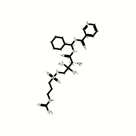 CC(=O)NCCCS(=O)(=O)OCC(C)(C)[C@@H](O)C(=O)OC(OC(=O)c1cccnc1)C1CCCCC1